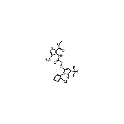 COC(=O)c1scc(N)c1NC(=O)COC1=CC(C(F)(F)F)NN1c1ccccc1Cl